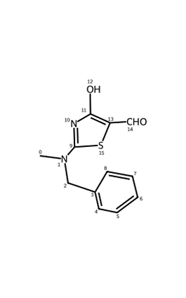 CN(Cc1ccccc1)c1nc(O)c(C=O)s1